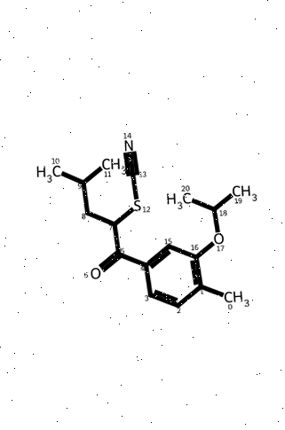 Cc1ccc(C(=O)C(CC(C)C)SC#N)cc1OC(C)C